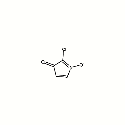 O=C1C=C[N+]([O-])=C1Cl